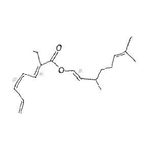 C=C/C=C\C=C(/C)C(=O)O/C=C/C(C)CCC=C(C)C